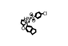 O=C1CC=N[N+]1(CNS(=O)(=O)c1ccc(Cl)cc1)c1ccc2c(c1)CCC2